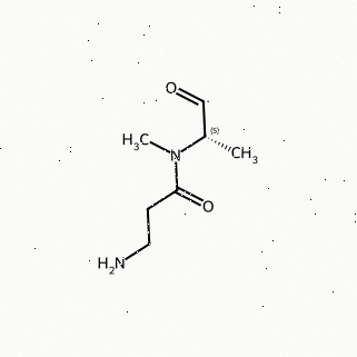 C[C@@H]([C]=O)N(C)C(=O)CCN